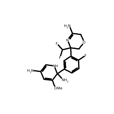 COC1=CC(N)=CNC1(N)c1ccc(F)c(C2(C(F)F)COCC(N)=N2)c1